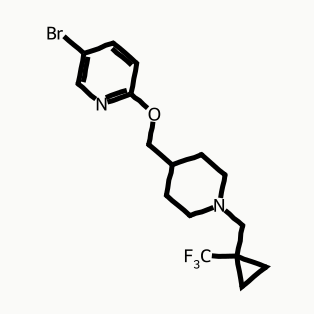 FC(F)(F)C1(CN2CCC(COc3ccc(Br)cn3)CC2)CC1